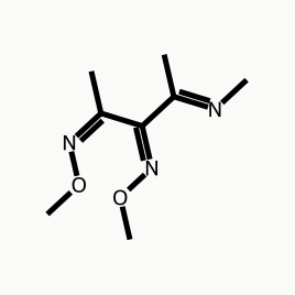 C/N=C(C)/C(=N/OC)C(/C)=N\OC